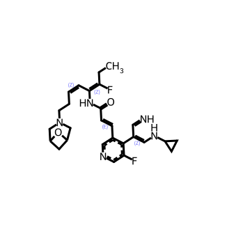 CC/C(F)=C(\C=C/CCN1CC2CC(C1)O2)NC(=O)/C=C/c1cncc(F)c1/C(C=N)=C/NC1CC1